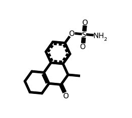 CC1C(=O)C2=C(CCCC2)c2ccc(OS(N)(=O)=O)cc21